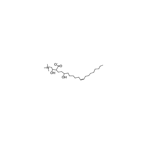 CCCCCCCC/C=C\CCCCCC(O)CCC(C(=O)[O-])C(O)C[N+](C)(C)C